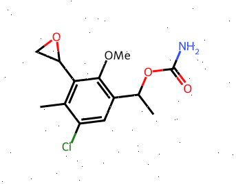 COc1c(C(C)OC(N)=O)cc(Cl)c(C)c1C1CO1